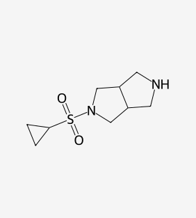 O=S(=O)(C1CC1)N1CC2CNCC2C1